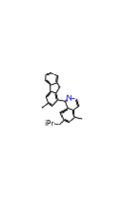 Cc1cc2c(c(-c3nccc4c(C)cc(CC(C)C)cc34)c1)Cc1ccccc1-2